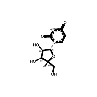 O=c1ccn([C@@H]2O[C@](F)(CO)[C@@H](O)[C@H]2O)c(=O)[nH]1